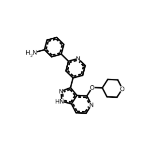 Nc1cccc(-c2cc(-c3n[nH]c4ccnc(OC5CCOCC5)c34)ccn2)c1